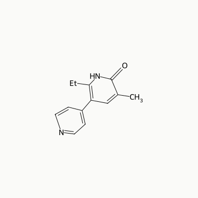 CCc1[nH]c(=O)c(C)cc1-c1ccncc1